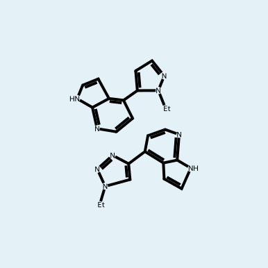 CCn1cc(-c2ccnc3[nH]ccc23)nn1.CCn1nccc1-c1ccnc2[nH]ccc12